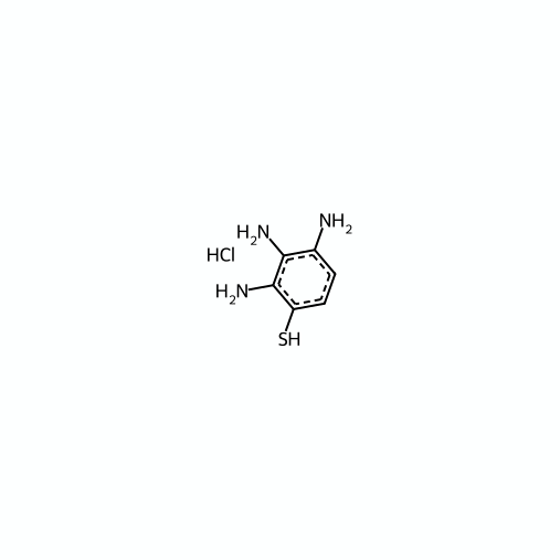 Cl.Nc1ccc(S)c(N)c1N